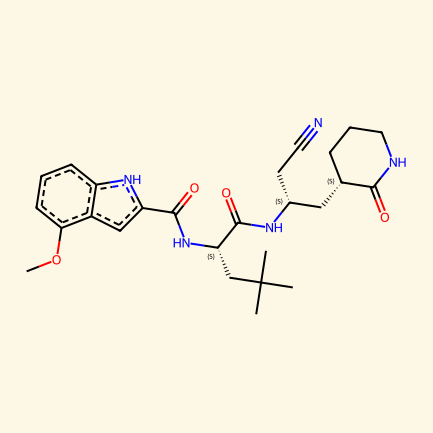 COc1cccc2[nH]c(C(=O)N[C@@H](CC(C)(C)C)C(=O)N[C@H](CC#N)C[C@@H]3CCCNC3=O)cc12